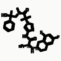 CCC[C@H](N[C@H]1CCc2cc(F)cc(F)c2C1)C(=O)Nc1cn(C(C)(C)C(=O)N(C)CC(C)(O)c2ccccc2)cn1